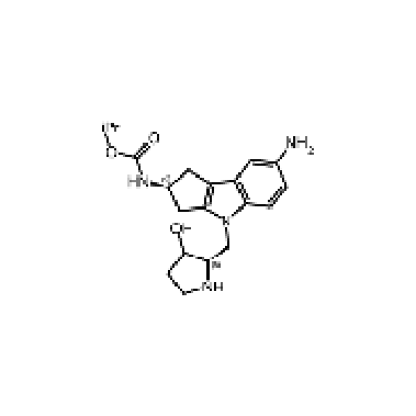 CC(C)OC(=O)N[C@H]1Cc2c(n(C[C@H]3NCCC3O)c3ccc(N)cc23)C1